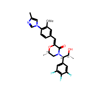 COc1cc(C=C2O[C@@H](C)CN([C@H](c3cc(F)c(F)c(F)c3)[C@@H](C)O)C2=O)ccc1-n1cnc(C)c1